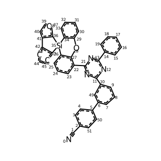 N#Cc1ccc(-c2cccc(-c3nc(-c4ccccc4)nc(-c4cccc5c4Oc4ccccc4[Si]54c5ccccc5-c5ccccc54)n3)c2)cc1